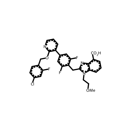 COCCn1c(Cc2c(F)cc(-c3cccnc3OCc3ccc(Cl)cc3F)cc2F)nc2c(C(=O)O)cccc21